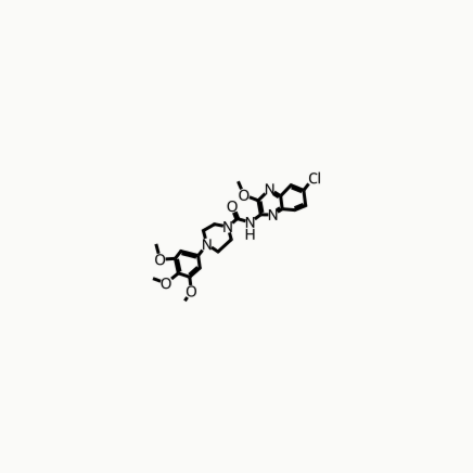 COc1cc(N2CCN(C(=O)Nc3nc4ccc(Cl)cc4nc3OC)CC2)cc(OC)c1OC